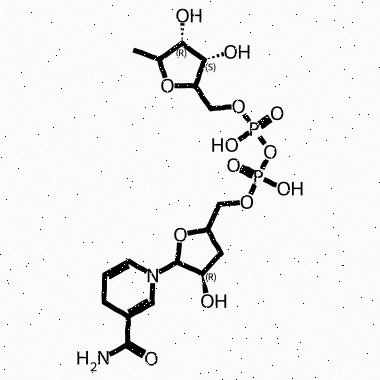 CC1OC(COP(=O)(O)OP(=O)(O)OCC2C[C@@H](O)C(N3C=CCC(C(N)=O)=C3)O2)[C@@H](O)[C@H]1O